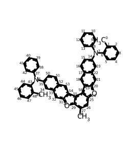 Cc1ccccc1N(c1ccccc1)c1ccc2cc3c(cc2c1)oc1cc(C)c2oc4cc5cc(N(c6ccccc6)c6ccccc6C)ccc5cc4c2c13